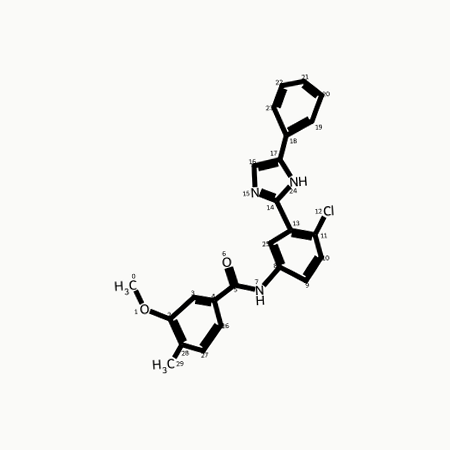 COc1cc(C(=O)Nc2ccc(Cl)c(-c3ncc(-c4ccccc4)[nH]3)c2)ccc1C